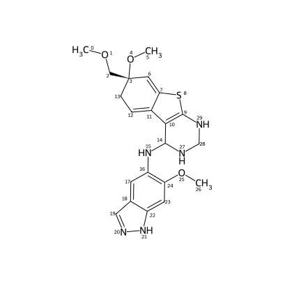 COC[C@@]1(OC)C=c2sc3c(c2=CC1)C(Nc1cc2cn[nH]c2cc1OC)NCN3